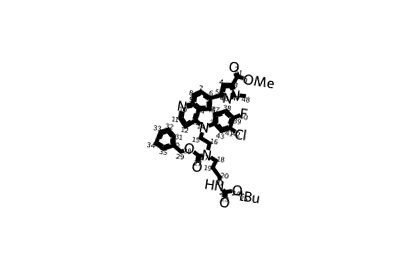 COC(=O)c1cc(-c2ccc3nccc(N(CCN(CCCNC(=O)OC(C)(C)C)C(=O)OCc4ccccc4)c4ccc(F)c(Cl)c4)c3c2)nn1C